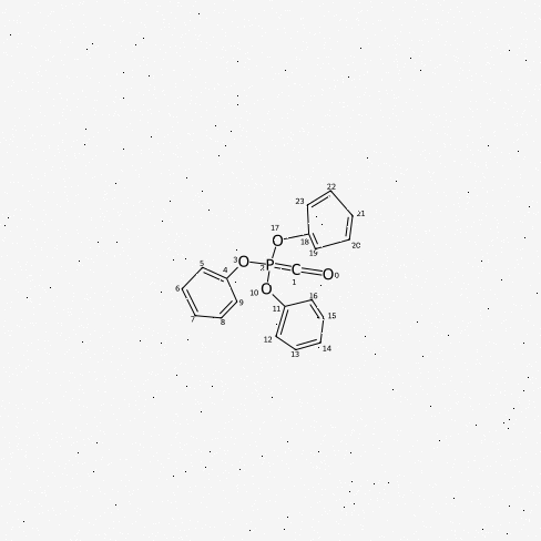 O=C=P(Oc1ccccc1)(Oc1ccccc1)Oc1ccccc1